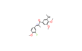 COc1ccc(/C=C(\C)C(=O)c2cc(OC)c(OC)c([Se]C)c2)cc1F